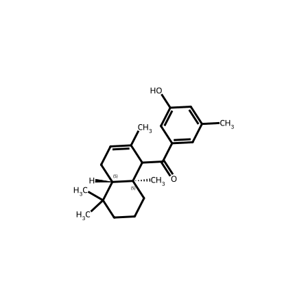 CC1=CC[C@H]2C(C)(C)CCC[C@]2(C)C1C(=O)c1cc(C)cc(O)c1